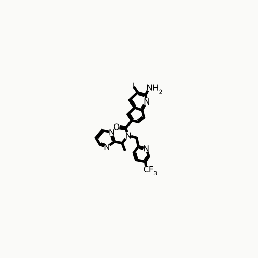 CC(c1ncccn1)N(Cc1ccc(C(F)(F)F)cn1)C(=O)c1ccc2nc(N)c(I)cc2c1